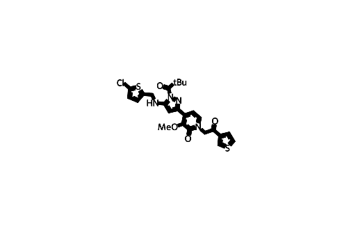 COc1c(-c2cc(NCc3ccc(Cl)s3)n(C(=O)C(C)(C)C)n2)ccn(CC(=O)c2ccsc2)c1=O